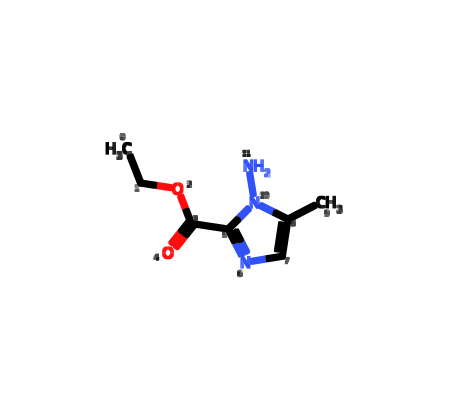 CCOC(=O)c1ncc(C)n1N